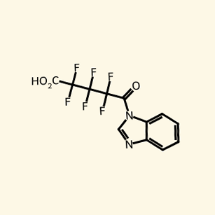 O=C(O)C(F)(F)C(F)(F)C(F)(F)C(=O)n1cnc2ccccc21